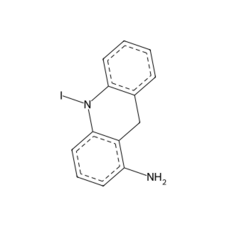 Nc1cccc2c1Cc1ccccc1N2I